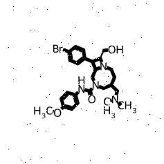 COc1ccc(NC(=O)N2CC(CN(C)C)CCN3C(C2)C(c2ccc(Br)cc2)[C@H]3CO)cc1